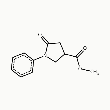 COC(=O)C1CC(=O)N(c2ccccc2)C1